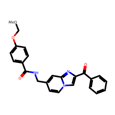 COCOc1ccc(C(=O)NCc2ccn3cc(C(=O)c4ccccc4)nc3c2)cc1